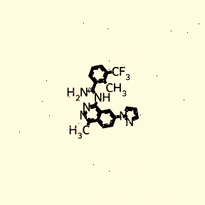 Cc1c([C@@H](N)Nc2nnc(C)c3ccc(-n4cccn4)cc23)cccc1C(F)(F)F